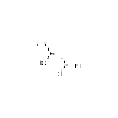 CCCC(O)OC(O)CC